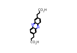 O=C(O)CCc1ccc2nc3cc(CCC(=O)O)ccc3nc2c1